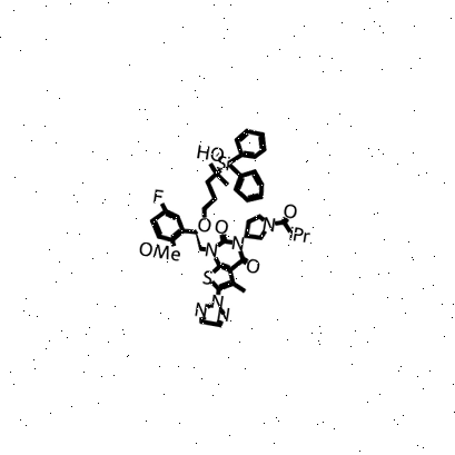 COc1ccc(F)cc1[C@H](Cn1c(=O)n([C@@H]2CCN(C(=O)C(C)C)C2)c(=O)c2c(C)c(-n3nccn3)sc21)OCCCC(C)(C)[Si](O)(c1ccccc1)c1ccccc1